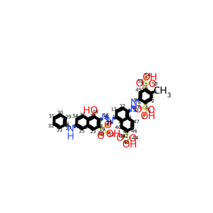 Cc1cc(S(=O)(=O)O)c(N=Nc2ccc(N=Nc3c(S(=O)(=O)O)cc4cc(Nc5ccccc5)ccc4c3O)c3cc(S(=O)(=O)O)ccc23)cc1S(=O)(=O)O